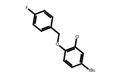 CC(C)(C)c1ccc(OCc2ccc(F)cc2)c(Cl)c1